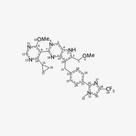 COCc1[nH]c2cnc(-c3c(OC)ncnc3C3CC3)nc2c1Cc1ccc(-c2nc(C(F)(F)F)cn2C)cc1